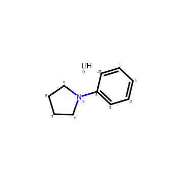 [LiH].c1ccc(N2CCCC2)cc1